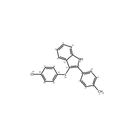 Cc1ccc(-c2[nH]c3ncccc3c2Sc2ccc(Cl)cc2)nc1